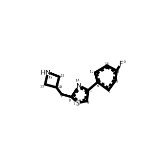 Fc1ccc(-c2csc(CC3CNC3)n2)cc1